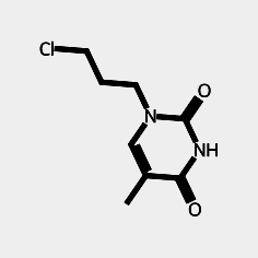 Cc1cn(CCCCl)c(=O)[nH]c1=O